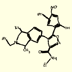 CCNC(=O)c1noc(-c2cc(C(C)C)c(N=O)cc2O)c1-c1ccc2c(c1)C(C)N(CC(C)C)C2CC